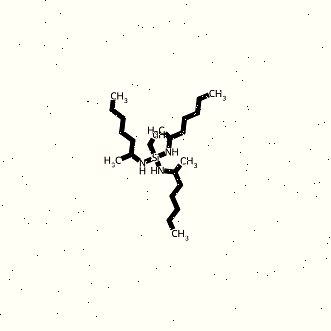 CCCCCC(C)N[Si](CC)(NC(C)CCCCC)NC(C)CCCCC